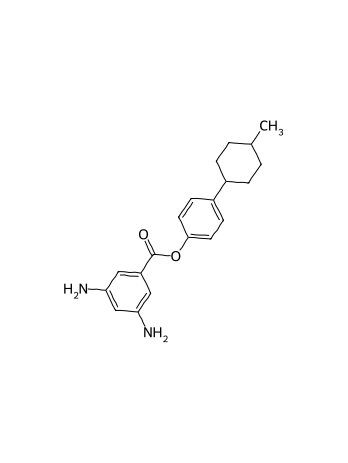 CC1CCC(c2ccc(OC(=O)c3cc(N)cc(N)c3)cc2)CC1